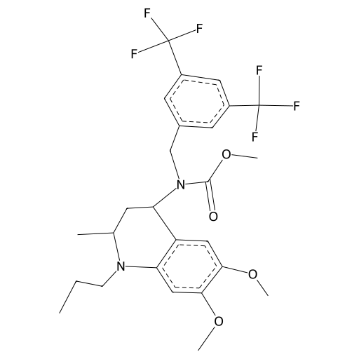 CCCN1c2cc(OC)c(OC)cc2C(N(Cc2cc(C(F)(F)F)cc(C(F)(F)F)c2)C(=O)OC)CC1C